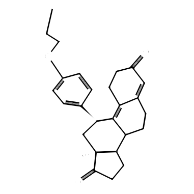 CCCOc1ccc([C@@H]2C[C@]3(C)C(=O)CCC3C3CCC4=CC(=O)CCC4=C32)cc1